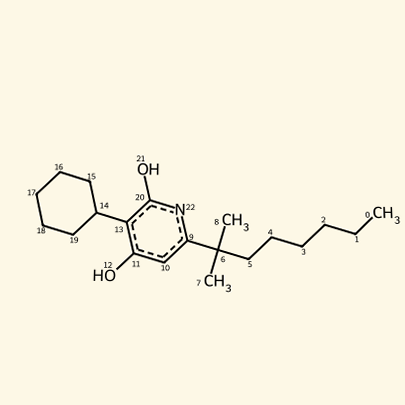 CCCCCCC(C)(C)c1cc(O)c(C2CCCCC2)c(O)n1